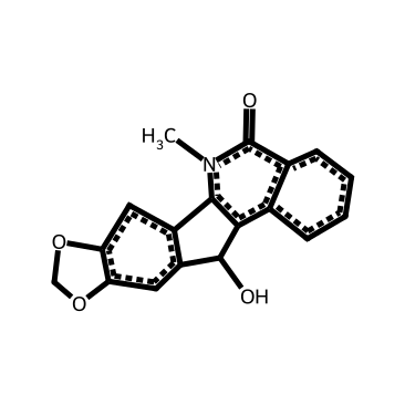 Cn1c2c(c3ccccc3c1=O)C(O)c1cc3c(cc1-2)OCO3